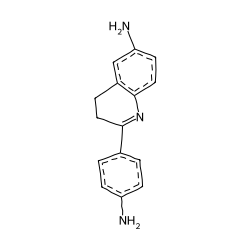 Nc1ccc(C2=Nc3ccc(N)cc3CC2)cc1